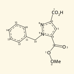 COOC(=O)c1cc(C(=O)O)nn1Cc1ccccc1